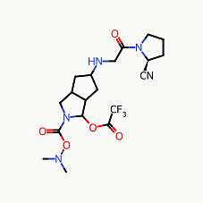 CN(C)OC(=O)N1CC2CC(NCC(=O)N3CCC[C@H]3C#N)CC2C1OC(=O)C(F)(F)F